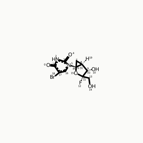 O=c1[nH]c(=O)n([C@@]23C[C@H]2[C@H](O)[C@@](F)(CO)O3)cc1Br